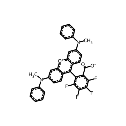 CN(c1ccccc1)c1ccc2c(-c3c(F)c(F)c(F)c(F)c3C(=O)[O-])c3ccc(N(C)c4ccccc4)cc3[o+]c2c1